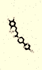 N[C@@H](CC(=O)N1CCC(c2ncc(C(F)(F)F)cn2)CC1)Cc1cc(F)c(F)cc1F